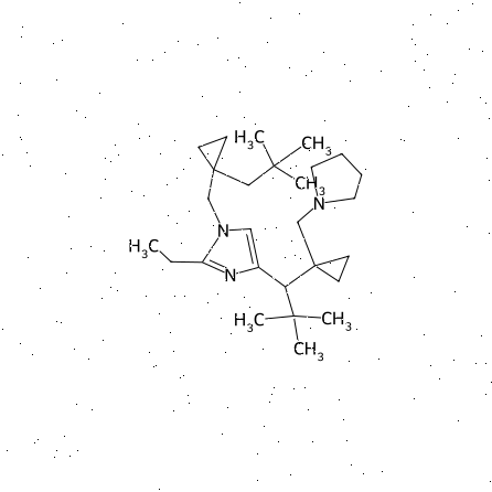 CCc1nc(C(C(C)(C)C)C2(CN3CCCC3)CC2)cn1CC1(CC(C)(C)C)CC1